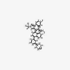 Cc1ccc(-n2nc(C(C)(C)C)cc2N(C(N)=O)c2ccc(-c3cccc(N4CCOCC4)c3)c3ccccc23)cc1